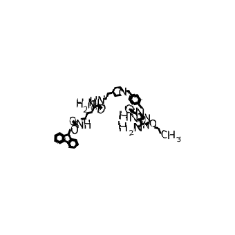 CCCCOc1nc(N)c2[nH]c(=O)n(Cc3ccc(CN4CCC(CCNC(=O)[C@@H](N)CCCCNC(=O)OCC5c6ccccc6-c6ccccc65)CC4)cc3)c2n1